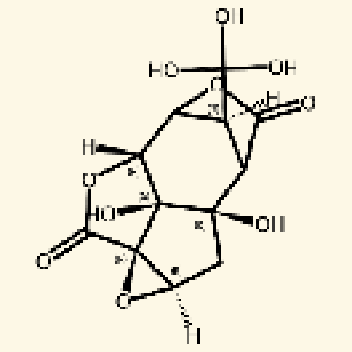 O=C1OC2[C@@H](C(O)(O)O)C1[C@]1(O)C[C@H]3O[C@]34C(=O)O[C@H]2[C@]14O